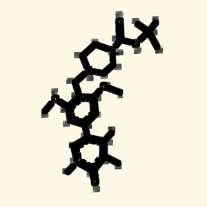 COc1cc(-c2cn(C)c(=O)c(C)c2C)cc(OC)c1CN1CCN(C(=O)OC(C)(C)C)CC1